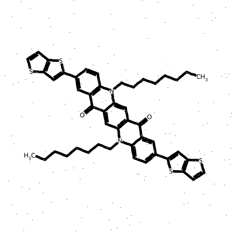 CCCCCCCCn1c2ccc(-c3cc4sccc4s3)cc2c(=O)c2cc3c(cc21)c(=O)c1cc(-c2cc4sccc4s2)ccc1n3CCCCCCCC